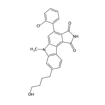 Cn1c2cc(CCCCO)ccc2c2c3c(c(-c4ccccc4Cl)cc21)C(=O)NC3=O